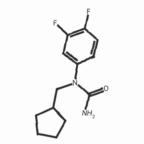 NC(=O)N(CC1CCCC1)c1ccc(F)c(F)c1